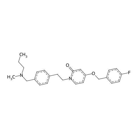 CCCN(C)Cc1ccc(CCn2ccc(OCc3ccc(F)cc3)cc2=O)cc1